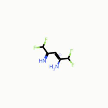 N=C(/C=C(\N)C(F)F)C(F)F